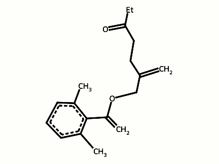 C=C(CCC(=O)CC)COC(=C)c1c(C)cccc1C